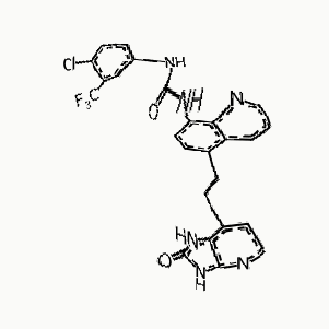 O=C(Nc1ccc(Cl)c(C(F)(F)F)c1)Nc1ccc(CCc2ccnc3[nH]c(=O)[nH]c23)c2cccnc12